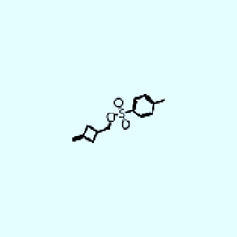 C=C1CC(COS(=O)(=O)c2ccc(C)cc2)C1